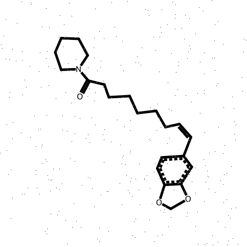 O=C(CCCCCC/C=C\c1ccc2c(c1)OCO2)N1CCCCC1